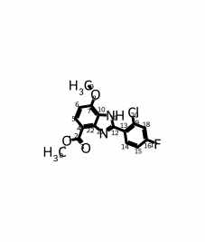 COC(=O)c1ccc(OC)c2[nH]c(-c3ccc(F)cc3Cl)nc12